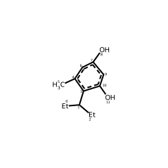 CCC(CC)c1c(C)cc(O)cc1O